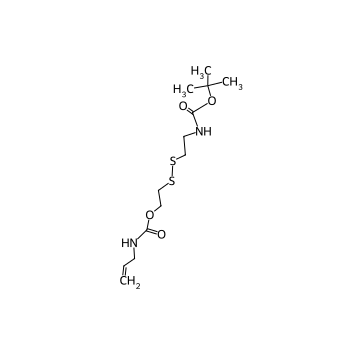 C=CCNC(=O)OCCSSCCNC(=O)OC(C)(C)C